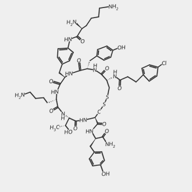 C[C@@H](O)[C@@H]1NC(=O)[C@H](CCCCN)NC(=O)[C@@H](Cc2ccc(NC(=O)[C@@H](N)CCCCN)cc2)NC(=O)[C@H](Cc2ccc(O)cc2)NC(=O)[C@H](NC(=O)CCc2ccc(Cl)cc2)CSSC[C@@H](C(=O)N[C@H](Cc2ccc(O)cc2)C(N)=O)NC1=O